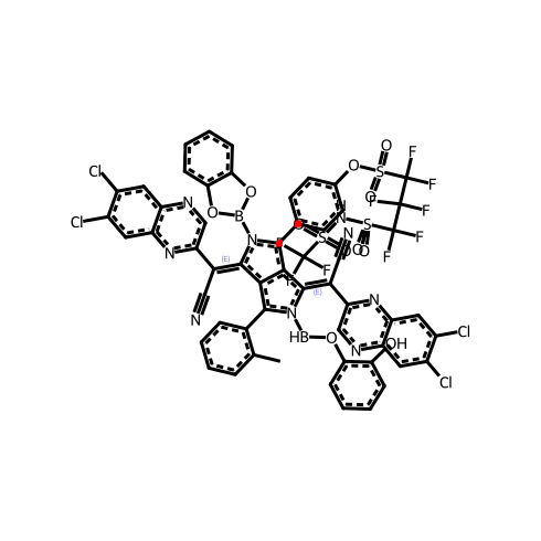 Cc1ccccc1-c1c2/c(=C(\C#N)c3cnc4cc(Cl)c(Cl)cc4n3)n(B3Oc4ccccc4O3)c(-c3ccc(OS(=O)(=O)C(F)(F)C(F)(F)C(F)(F)S(=O)(=O)NS(=O)(=O)C(F)(F)F)cc3)c2/c(=C(\C#N)c2cnc3cc(Cl)c(Cl)cc3n2)n1BOc1ccccc1O